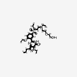 CCCc1nn(CC)c2c(=O)[nH]c(-c3cc(S(=O)(=O)N(CC)CCN(CC)CCOCCO)ccc3OCC)nc12